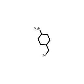 CNC1CCC(CC(C)(C)C)CC1